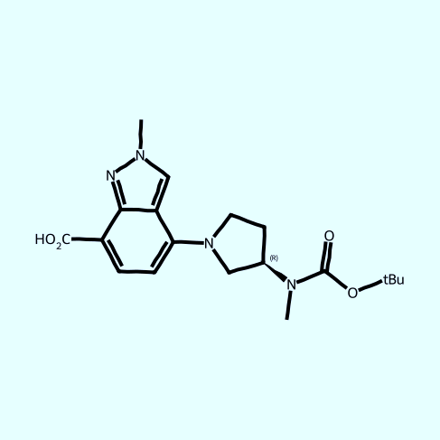 CN(C(=O)OC(C)(C)C)[C@@H]1CCN(c2ccc(C(=O)O)c3nn(C)cc23)C1